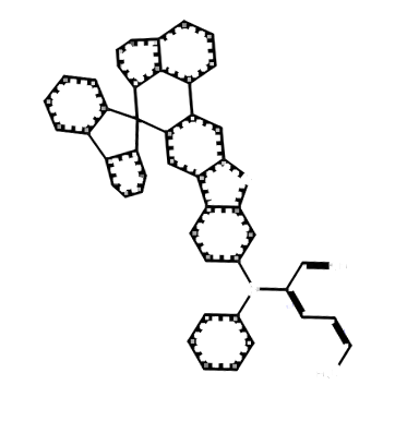 C=C/C(=C\C=C/C)N(c1ccccc1)c1ccc2c(c1)sc1cc3c(cc12)C1(c2ccccc2-c2ccccc21)c1cccc2cccc-3c12